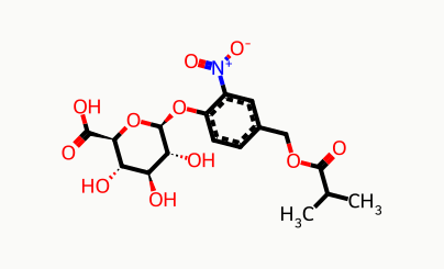 CC(C)C(=O)OCc1ccc(O[C@@H]2O[C@H](C(=O)O)[C@@H](O)[C@H](O)[C@H]2O)c([N+](=O)[O-])c1